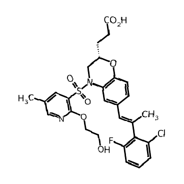 C/C(=C\c1ccc2c(c1)N(S(=O)(=O)c1cc(C)cnc1OCCO)C[C@H](CCC(=O)O)O2)c1c(F)cccc1Cl